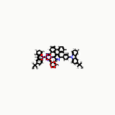 Cc1cccc(C)c1-c1nc(-c2ccc(-n3c4ccccc4c4cc(C(C)(C)C)ccc43)cc2)c(-c2c(C)cccc2C)c(-c2ccccc2-c2nc(-c3ccccc3)nc(-c3ccccc3)n2)c1-c1ccc(-n2c3ccccc3c3cc(C(C)(C)C)ccc32)cc1